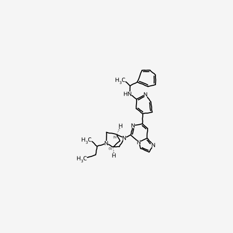 CCC(C)N1C[C@@H]2C[C@H]1CN2c1nc(-c2ccnc(NC(C)c3ccccc3)c2)cc2nccn12